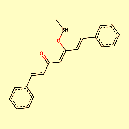 CBOC(=C\C(=O)/C=C/c1ccccc1)/C=C/c1ccccc1